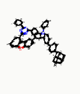 C[C@]12C[C@@H]3CC4CC(C1c1ccc(-c5ccc6c(c5)c5cc(-c7ccc8oc9cccc(-c%10nc(-c%11ccccc%11)nc(-c%11ccccc%11)n%10)c9c8c7)ccc5n6-c5ccccc5)cc1)C432